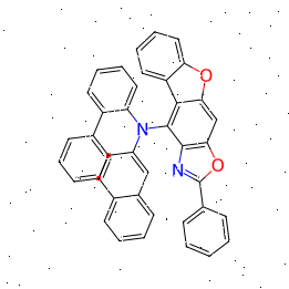 c1ccc(-c2nc3c(N(c4ccc5ccccc5c4)c4ccccc4-c4ccccc4)c4c(cc3o2)oc2ccccc24)cc1